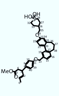 C/C=C/C(CC(=O)OC)c1ccc(OCc2ccc3c(c2)-c2ccc(OCC4CCS(O)(O)CC4)cc2CCC3)cc1